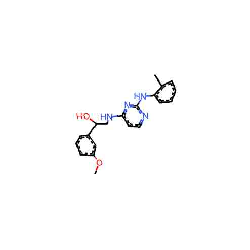 COc1cccc(C(O)CNc2ccnc(Nc3ccccc3C)n2)c1